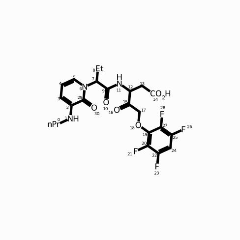 CCCNc1cccn(C(CC)C(=O)NC(CC(=O)O)C(=O)COc2c(F)c(F)cc(F)c2F)c1=O